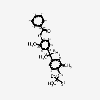 CCC(C)(CC)Oc1ccc(C(C)(C)c2ccc(OC(=O)c3ccccc3)c(C)c2)cc1C